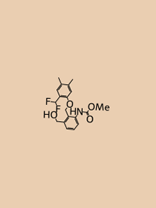 COC(=O)Nc1cccc(CO)c1COc1cc(C)c(C)cc1C(F)F